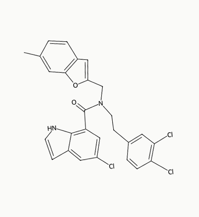 Cc1ccc2cc(CN(CCc3ccc(Cl)c(Cl)c3)C(=O)c3cc(Cl)cc4cc[nH]c34)oc2c1